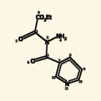 CCOC(=O)C(=O)N(N)C(=O)c1cccnc1